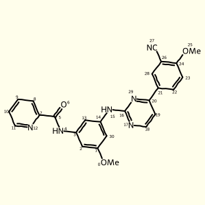 COc1cc(NC(=O)c2ccccn2)cc(Nc2nccc(-c3ccc(OC)c(C#N)c3)n2)c1